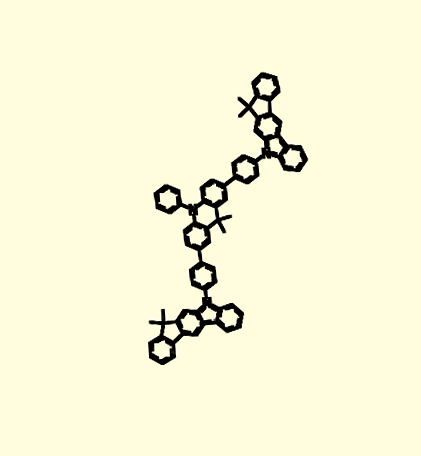 CC1(C)c2ccccc2-c2cc3c4ccccc4n(-c4ccc(-c5ccc6c(c5)C(C)(C)c5cc(-c7ccc(-n8c9ccccc9c9cc%10c(cc98)C(C)(C)c8ccccc8-%10)cc7)ccc5N6c5ccccc5)cc4)c3cc21